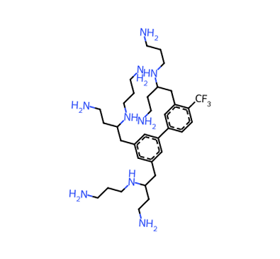 NCCCNC(CCN)Cc1cc(CC(CCN)NCCCN)cc(-c2ccc(C(F)(F)F)c(CC(CCN)NCCCN)c2)c1